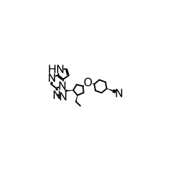 CC[C@@H]1C[C@@H](O[C@H]2CC[C@H](C#N)CC2)C[C@@H]1c1nnc2cnc3[nH]ccc3n12